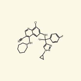 [2H]C(Nc1cc(Cl)c2ncc(C#N)c(NN3CCCCCC3)c2c1)(c1ccc(F)cc1)c1cn(C2CC2)nn1